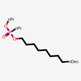 CCCCCCCCCCCCCCCCCCOP(=O)(CCC)OCCC